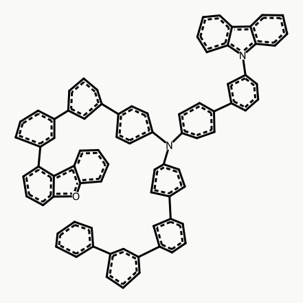 c1ccc(-c2cccc(-c3cccc(-c4ccc(N(c5ccc(-c6cccc(-c7cccc(-c8cccc9oc%10ccccc%10c89)c7)c6)cc5)c5ccc(-c6cccc(-n7c8ccccc8c8ccccc87)c6)cc5)cc4)c3)c2)cc1